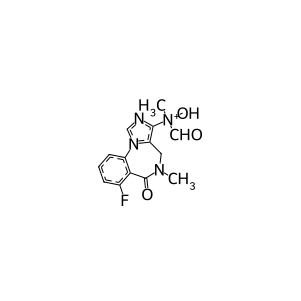 CN1Cc2c([N+](C)(O)C=O)ncn2-c2cccc(F)c2C1=O